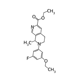 CCOC(=O)c1cc2c(cn1)C(C)N(c1cc(F)cc(OCC)c1)CC2